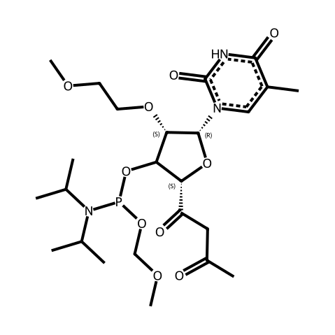 COCCO[C@H]1C(OP(OCOC)N(C(C)C)C(C)C)[C@@H](C(=O)CC(C)=O)O[C@H]1n1cc(C)c(=O)[nH]c1=O